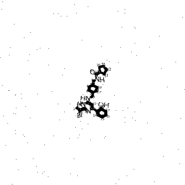 O=C(NCc1ccc(CNc2cc(-c3ccccc3O)nc3c(Br)cnn23)cc1)C1CCCC1